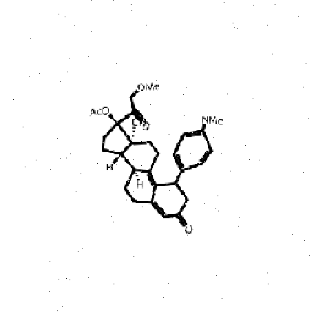 CNc1ccc(C2CC(=O)C=C3CC[C@@H]4C(=C32)CC[C@@]2(C)[C@H]4CC[C@]2(OC(C)=O)C(=O)COC)cc1